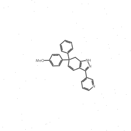 COc1ccc(C2(c3ccccc3)C=Cc3c(-c4cccnc4)n[nH]c3C2)cc1